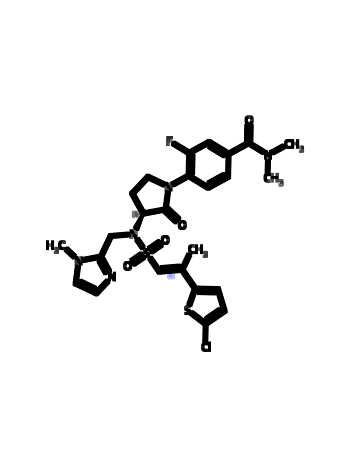 C/C(=C\S(=O)(=O)N(Cc1nccn1C)[C@H]1CCN(c2ccc(C(=O)N(C)C)cc2F)C1=O)c1ccc(Cl)s1